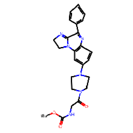 CC(C)(C)OC(=O)NCC(=O)N1CCN(c2ccc3c(c2)N2CCN=C2C(c2ccccc2)=N3)CC1